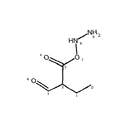 CCC(C=O)C(=O)ONN